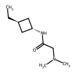 CC[C@H]1C[C@H](NC(=O)CN(C)C)C1